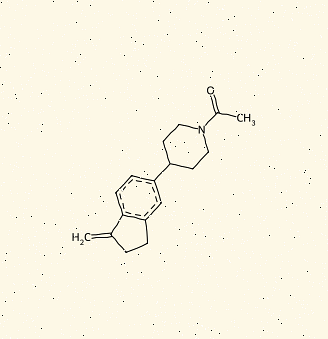 C=C1CCc2cc(C3CCN(C(C)=O)CC3)ccc21